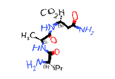 CC(C)[C@H](N)C(=O)N[C@@H](C)C(=O)N[C@@H](CC(N)=O)C(=O)O